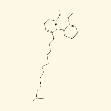 COc1ccccc1-c1c(OC)cccc1OCCCCCCCCCN(C)C